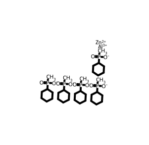 CP(=O)([O-])C1CCCCC1.CP(=O)([O-])C1CCCCC1.CP(=O)([O-])C1CCCCC1.CP(=O)([O-])C1CCCCC1.CP(=O)([O-])C1CCCCC1.[Al+3].[Zn+2]